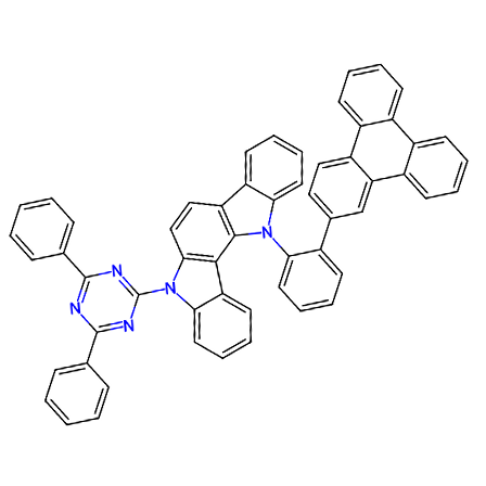 c1ccc(-c2nc(-c3ccccc3)nc(-n3c4ccccc4c4c3ccc3c5ccccc5n(-c5ccccc5-c5ccc6c7ccccc7c7ccccc7c6c5)c34)n2)cc1